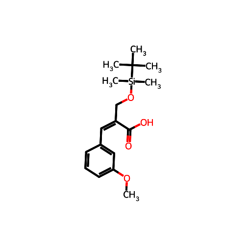 COc1cccc(C=C(CO[Si](C)(C)C(C)(C)C)C(=O)O)c1